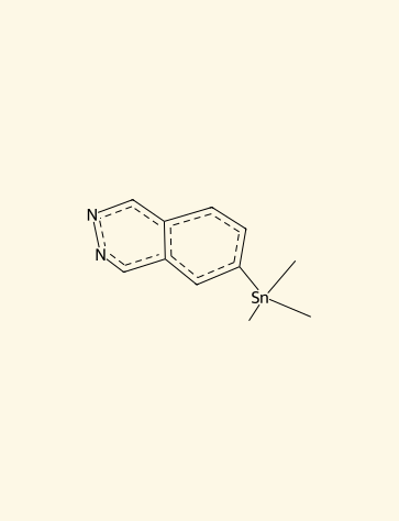 [CH3][Sn]([CH3])([CH3])[c]1ccc2cnncc2c1